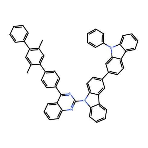 Cc1cc(-c2ccc(-c3nc(-n4c5ccccc5c5cc(-c6ccc7c8ccccc8n(-c8ccccc8)c7c6)ccc54)nc4ccccc34)cc2)c(C)cc1-c1ccccc1